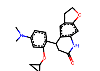 CN(C)c1ccc(C2CC(=O)Nc3cc4c(cc32)CCO4)c(OC2CC2)c1